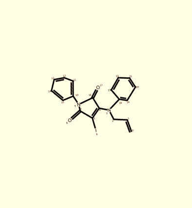 C=CCN(C1=C(I)C(=O)N(c2ccccc2)C1=O)c1ccccc1